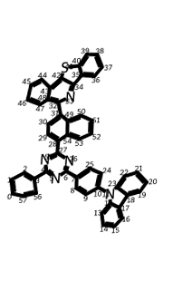 c1ccc(-c2nc(-c3ccc(-n4c5ccccc5c5ccccc54)cc3)nc(-c3ccc(-c4nc5c6ccccc6sc5c5ccccc45)c4ccccc34)n2)cc1